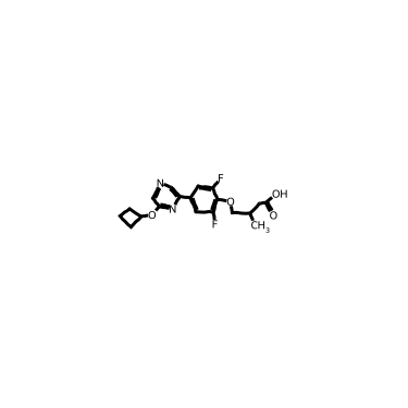 CC(COc1c(F)cc(-c2cncc(OC3CCC3)n2)cc1F)CC(=O)O